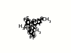 COc1ccc(-c2sc(C)nc2C(=O)N2CC(F)(F)C[C@@H](C)C2CNc2ncc(C(F)(F)F)cn2)nc1